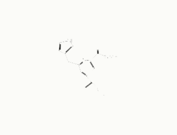 CNC(=O)c1cc(C(=O)OC(C)(C)C)cc(Cc2cc[nH]c2)n1